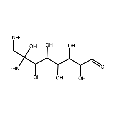 [NH]CC([NH])(O)C(O)C(O)C(O)C(O)C(O)C=O